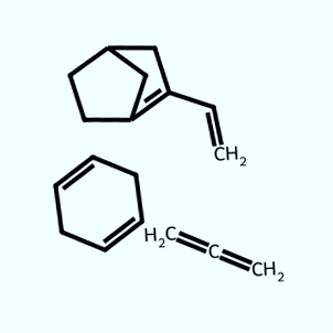 C1=CCC=CC1.C=C=C.C=CC1=C2CCC(C1)C2